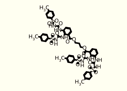 Cc1ccc(S(=O)(=O)NC(=O)Nc2cccc(C(=O)OCCCOC(=O)c3cccc(NC(=O)NS(=O)(=O)c4ccc(C)cc4)c3NC(=O)NS(=O)(=O)c3ccc(C)cc3)c2NC(=O)NS(=O)(=O)c2ccc(C)cc2)cc1